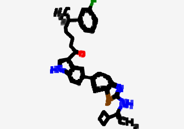 C=C(Nc1nc2ccc(-c3ccc4[nH]cc(C(=O)CCC[C@@H](C)c5cccc(F)c5)c4c3)cc2s1)C1CCC1